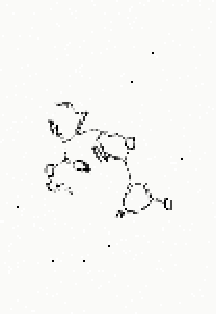 COC(=O)c1ncccc1-c1coc(-c2cncc(Cl)c2)n1